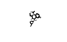 CCC1[C@H](C)C(Nc2cccc(C)n2)c2cc(F)ccc2N1C(C)=O